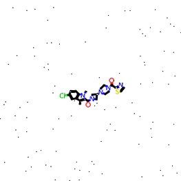 Cc1c(C(=O)N2CC(N3CCN(C(=O)c4nccs4)CC3)C2)n(C)c2ccc(Cl)cc12